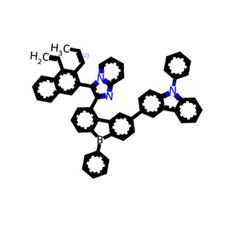 C=Cc1c(/C=C\C)c(-c2c(-c3cccc4c3-c3cc(-c5ccc6c(c5)c5ccccc5n6-c5ccccc5)ccc3B4c3ccccc3)nc3ccccn23)cc2ccccc12